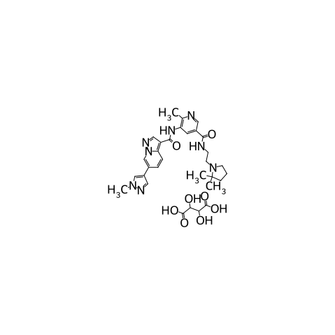 Cc1ncc(C(=O)NCCN2CCCC2(C)C)cc1NC(=O)c1cnn2cc(-c3cnn(C)c3)ccc12.O=C(O)C(O)C(O)C(=O)O